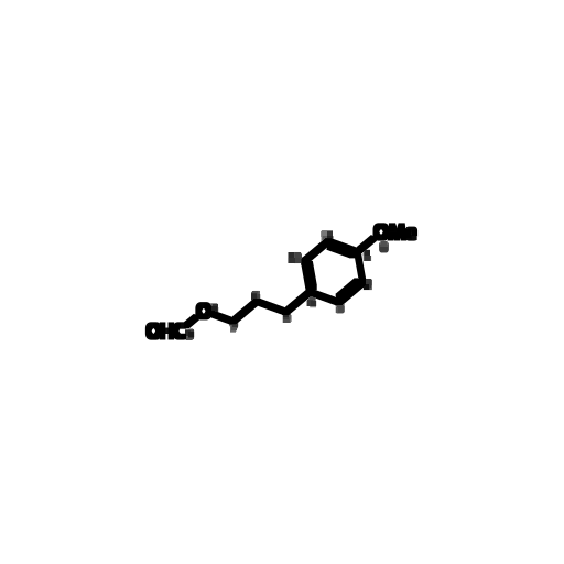 COc1ccc(CCCOC=O)cc1